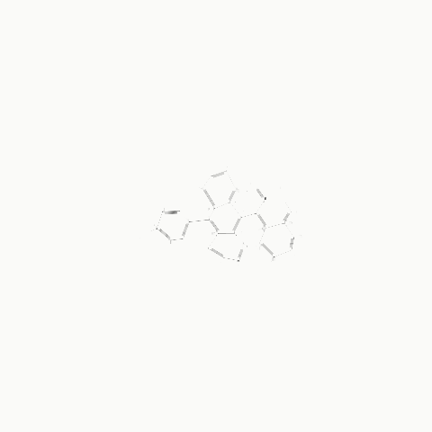 C=C/C(c1c2ccccc2c(-c2ccc(C)cc2)c2cccnc12)=c1/cccc/c1=C/C